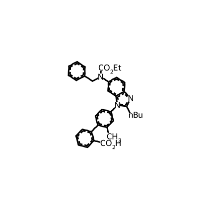 CCCCc1nc2ccc(N(Cc3ccccc3)C(=O)OCC)cc2n1-c1ccc(-c2ccccc2C(=O)O)c(C)c1